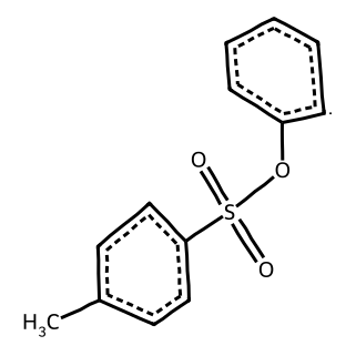 Cc1ccc(S(=O)(=O)Oc2[c]cccc2)cc1